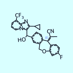 C/C(C#N)=C1/c2ccc(C(O)c3c(C4CC4)nc4c(C(F)(F)F)cccn34)cc2COc2cc(F)ccc21